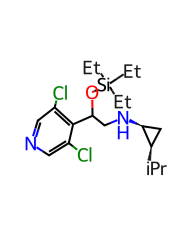 CC[Si](CC)(CC)OC(CN[C@H]1C[C@H]1C(C)C)c1c(Cl)cncc1Cl